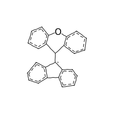 c1ccc2c(c1)Oc1ccccc1C2[C]1c2ccccc2-c2ccccc21